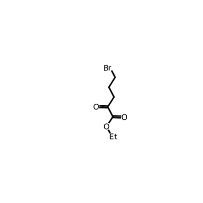 CCOC(=O)C(=O)CCCBr